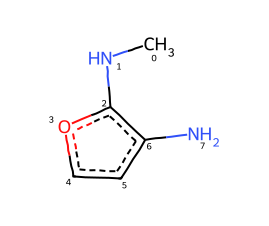 CNc1occc1N